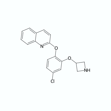 Clc1ccc(Oc2ccc3ccccc3n2)c(OC2CNC2)c1